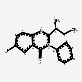 N[C@@H](CC(F)(F)F)c1nc2ccc(F)cc2c(=O)n1-c1ccccc1